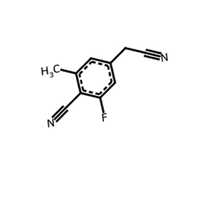 Cc1cc(CC#N)cc(F)c1C#N